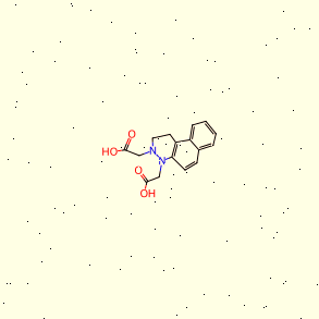 O=C(O)CN1CCc2c(ccc3ccccc23)N1CC(=O)O